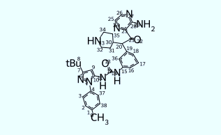 Cc1ccc(-n2nc(C(C)(C)C)cc2NC(=O)Nc2cccc(C(C(=O)c3nccnc3N)C3CCNCC3)c2)cc1